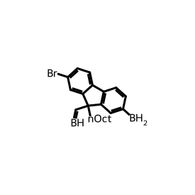 B=CC1(CCCCCCCC)c2cc(B)ccc2-c2ccc(Br)cc21